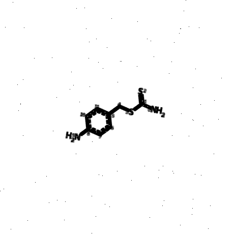 NC(=S)SCc1ccc(N)cc1